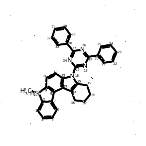 C[SiH]1c2ccccc2-c2c1ccc1c2c2c(n1-c1nc(-c3ccccc3)nc(-c3ccccc3)n1)CCCC2